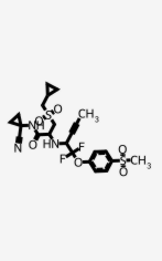 CC#CC(NC(CS(=O)(=O)CC1CC1)C(=O)NC1(C#N)CC1)C(F)(F)Oc1ccc(S(C)(=O)=O)cc1